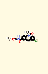 COCCNC(=O)c1ccc2c(c1)/C=C\c1cc(Cl)ccc1N(C(C)=O)C2